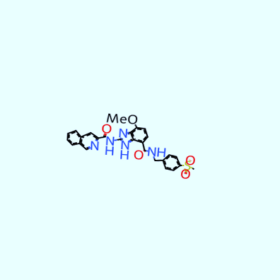 COc1ccc(C(=O)NCc2ccc(S(C)(=O)=O)cc2)c2[nH]c(NC(=O)c3cc4ccccc4cn3)nc12